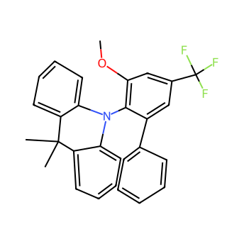 COc1cc(C(F)(F)F)cc(-c2ccccc2)c1N1c2ccccc2C(C)(C)c2ccccc21